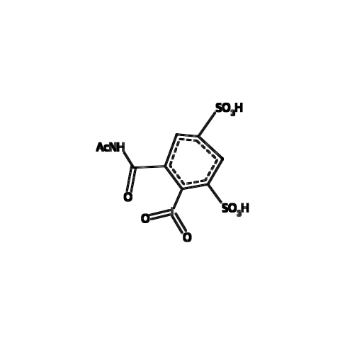 CC(=O)NC(=O)c1cc(S(=O)(=O)O)cc(S(=O)(=O)O)c1I(=O)=O